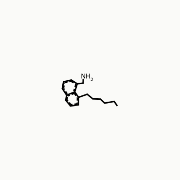 CCCCCCc1cccc2cccc(CN)c12